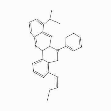 CC/C=C\c1cccc2c1CN(C1=CC=CCC1)C1C=c3c(C(C)C)cccc3=NC21